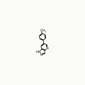 Cc1ccc(-c2cnc3cn[nH]c3c2)cc1